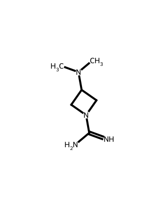 CN(C)C1CN(C(=N)N)C1